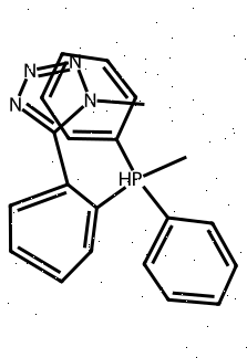 Cn1nnnc1-c1ccccc1[PH](C)(c1ccccc1)c1ccccc1